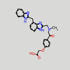 CN(CC(=O)c1ccc(OCC(=O)O)cc1)Cc1nc2c(Cc3nc4ccccc4[nH]3)cccc2[nH]1